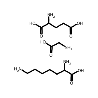 NC(CCC(=O)O)C(=O)O.NCC(=O)O.NCCCCCC(N)C(=O)O